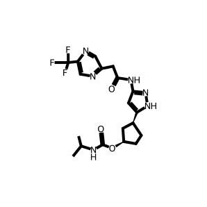 CC(C)NC(=O)O[C@@H]1CC[C@H](c2cc(NC(=O)Cc3cnc(C(F)(F)F)cn3)n[nH]2)C1